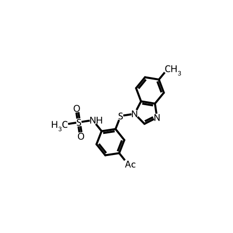 CC(=O)c1ccc(NS(C)(=O)=O)c(Sn2cnc3cc(C)ccc32)c1